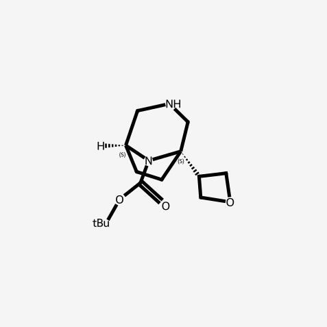 CC(C)(C)OC(=O)N1[C@H]2CC[C@]1(C1COC1)CNC2